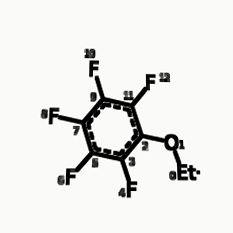 C[CH]Oc1c(F)c(F)c(F)c(F)c1F